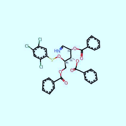 N=C[C@H](OC(=O)c1ccccc1)[C@H](OC(=O)c1ccccc1)[C@@H](COC(=O)c1ccccc1)OSc1cc(Cl)c(Cl)cc1Cl